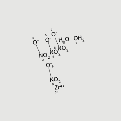 O.O.O=[N+]([O-])[O-].O=[N+]([O-])[O-].O=[N+]([O-])[O-].O=[N+]([O-])[O-].[Zr+4]